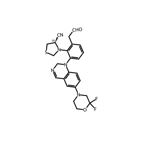 N#C[C@@H]1CSCN1c1c(CC=O)cccc1N1CN=Cc2cc(N3CCOC(F)(F)C3)ccc21